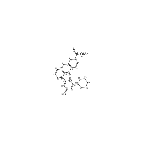 COC(=O)c1ccc2c(c1)Cc1cccc(-c3cc(=O)cc(N4CCCCC4)o3)c1S2